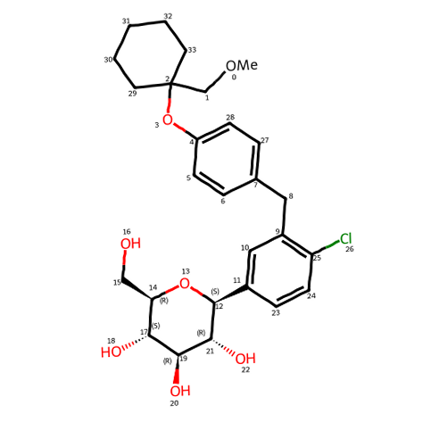 COCC1(Oc2ccc(Cc3cc([C@@H]4O[C@H](CO)[C@@H](O)[C@H](O)[C@H]4O)ccc3Cl)cc2)CCCCC1